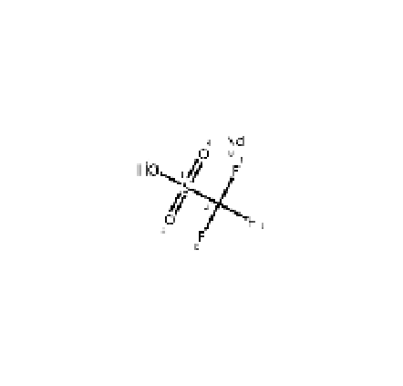 O=S(=O)(O)C(F)(F)F.[Nd]